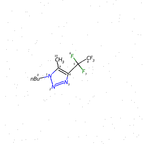 CCCCn1nnc(C(F)(F)C(F)(F)F)c1C